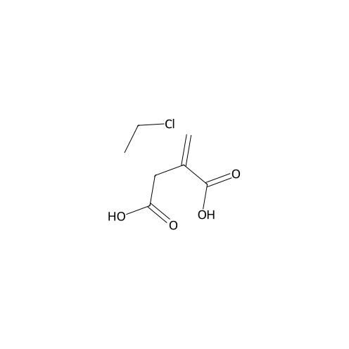 C=C(CC(=O)O)C(=O)O.CCCl